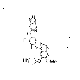 COc1cc2ncnc(Nc3ccc(Oc4cc5nncn5cn4)c(F)c3)c2cc1OC1CCNCC1